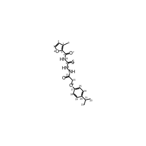 Cc1ccoc1C(=O)NC(=S)NNC(=O)COc1ccc(C(C)C)cc1